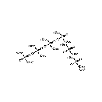 CCCCCCCCCCP(=O)([O-])CCCCCCCCCC.CCCCCCCCCCP(=O)([O-])CCCCCCCCCC.CCCCCCCCCCP(=O)([O-])CCCCCCCCCC.CCCCCCCCCCP(=O)([O-])CCCCCCCCCC.CCCCCCCCCCP(=O)([O-])CCCCCCCCCC.CCCCCCCCCCP(=O)([O-])CCCCCCCCCC.[Mo+6]